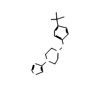 FC(F)(F)c1ccc(ON2CCN(c3cs[c]n3)CC2)cc1